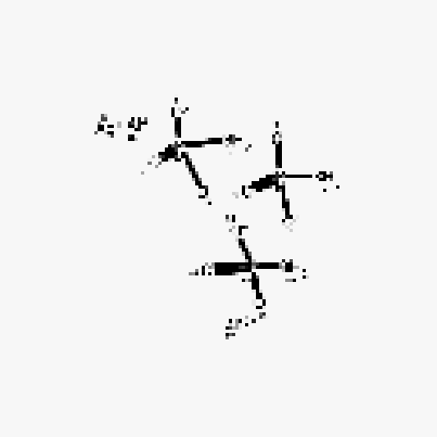 BP(=O)([O-])[O-].BP(=O)([O-])[O-].BP(=O)([O-])[O-].[Ag+].[Al+3].[Zn+2]